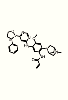 C=CC(=O)Nc1cc(Nc2cc(N3OCC[C@@H]3c3ccccc3)ncn2)c(OC)cc1N1CC2CC1CN2C